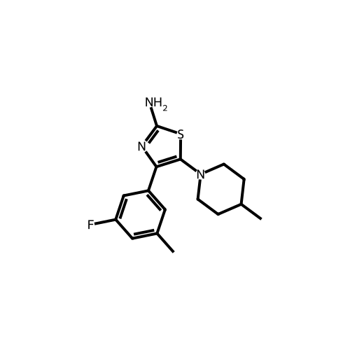 Cc1cc(F)cc(-c2nc(N)sc2N2CCC(C)CC2)c1